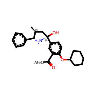 COC(=O)c1cc([C@](N)(O)C[C@H](C)Cc2ccccc2)ccc1OC1CCCCC1